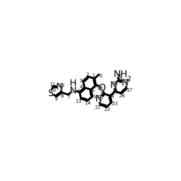 Cc1ccc2c(NCc3cscn3)cccc2c1Oc1ncccc1-c1ccnc(N)n1